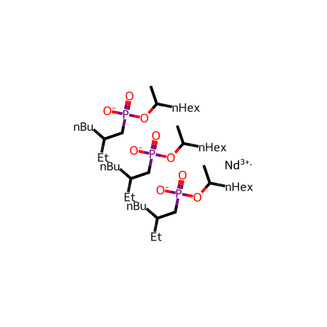 CCCCCCC(C)OP(=O)([O-])CC(CC)CCCC.CCCCCCC(C)OP(=O)([O-])CC(CC)CCCC.CCCCCCC(C)OP(=O)([O-])CC(CC)CCCC.[Nd+3]